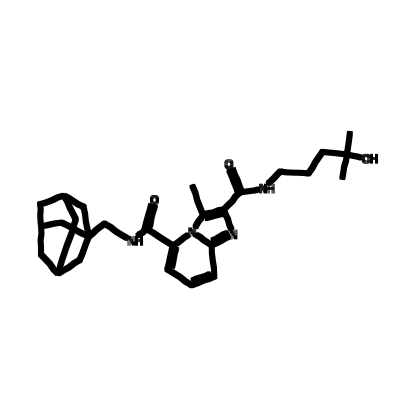 Cc1c(C(=O)NCCCC(C)(C)O)nc2cccc(C(=O)NCC34CC5CC(CC(C5)C3)C4)n12